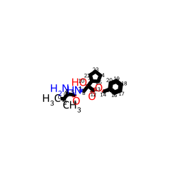 CC(C)[C@H](N)C(=O)NCC(O)(C(=O)OCc1ccccc1)C1CCCC1